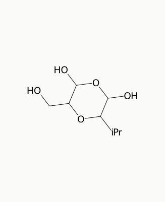 CC(C)C1OC(CO)C(O)OC1O